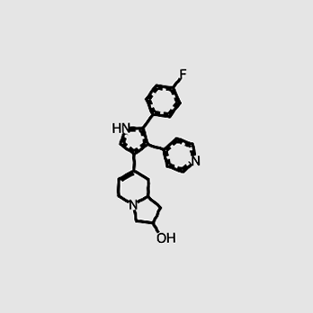 OC1CC2CC(c3c[nH]c(-c4ccc(F)cc4)c3-c3ccncc3)=CCN2C1